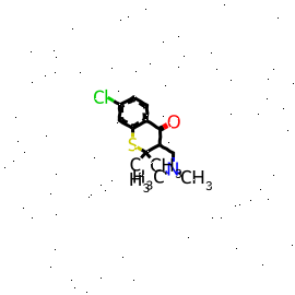 CN(C)CC1C(=O)c2ccc(Cl)cc2SC1(C)C